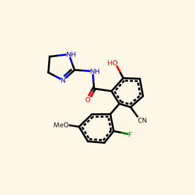 COc1ccc(F)c(-c2c(C#N)ccc(O)c2C(=O)NC2=NCCN2)c1